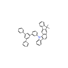 CC1(C)c2ccccc2-c2cc3c(ccc4c5ccccc5n(-c5cccc(-c6cc(-c7ccccc7)cc(-c7ccccc7)c6)c5)c34)cc21